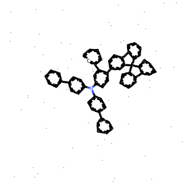 c1ccc(-c2ccc(N(c3ccc(-c4ccccc4)cc3)c3ccc(-c4ccc5c(c4)C4(c6ccccc6-c6ccccc64)c4ccccc4-5)c(-c4ccccc4)c3)cc2)cc1